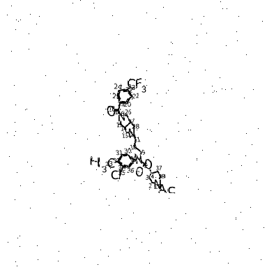 CC(=O)N1CCC(OC(=O)N(CCCN2CC3CN(C(=O)c4ccc(C(F)(F)F)cc4)CC3C2)c2ccc(C)c(Cl)c2)CC1